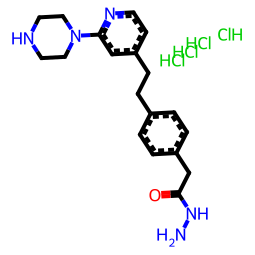 Cl.Cl.Cl.Cl.NNC(=O)Cc1ccc(CCc2ccnc(N3CCNCC3)c2)cc1